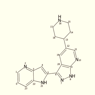 c1cnc2cc(-c3n[nH]c4ncc(C5CCNCC5)cc34)[nH]c2c1